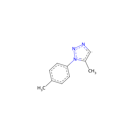 Cc1ccc(-n2nn[c]c2C)cc1